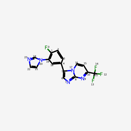 Fc1ccc(-c2cnc3nc(C(F)(F)F)ccn23)cc1-n1ccnc1